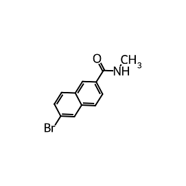 CNC(=O)c1ccc2cc(Br)ccc2c1